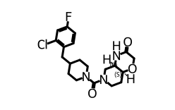 O=C1CO[C@H]2CCN(C(=O)N3CCC(Cc4ccc(F)cc4Cl)CC3)C[C@H]2N1